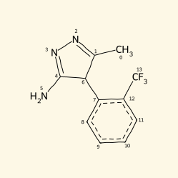 CC1=NN=C(N)C1c1ccccc1C(F)(F)F